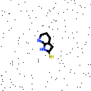 Sc1cc2cccnc2[nH]1